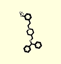 COc1cccc(CCN2CCC(COC(c3ccccc3)c3ccccc3)CC2)c1